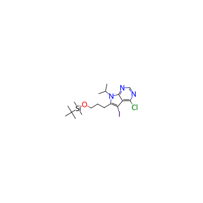 CC(C)n1c(CCCO[Si](C)(C)C(C)(C)C)c(I)c2c(Cl)ncnc21